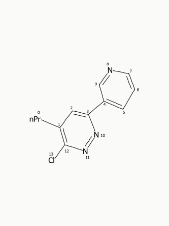 CCCc1cc(-c2cccnc2)nnc1Cl